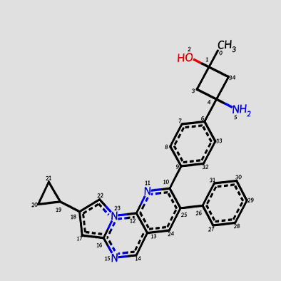 CC1(O)CC(N)(c2ccc(-c3nc4c(cnc5cc(C6CC6)cn54)cc3-c3ccccc3)cc2)C1